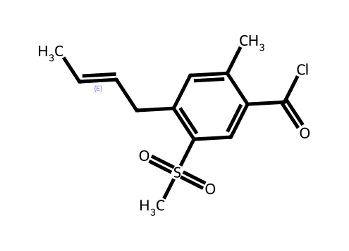 C/C=C/Cc1cc(C)c(C(=O)Cl)cc1S(C)(=O)=O